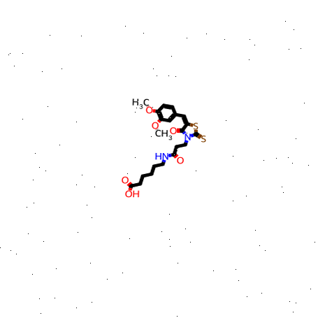 COc1ccc(/C=C2/SC(=S)N(CCC(=O)NCCCCCC(=O)O)C2=O)cc1OC